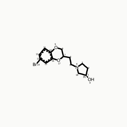 O[C@@H]1CCN(CCC2COc3ccc(Br)cc3O2)C1